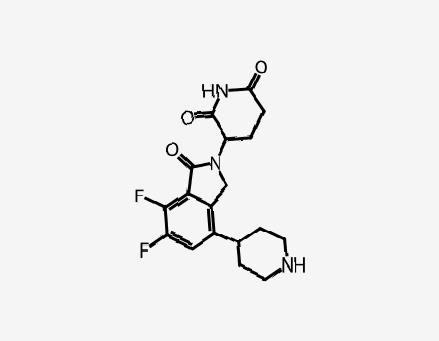 O=C1CCC(N2Cc3c(C4CCNCC4)cc(F)c(F)c3C2=O)C(=O)N1